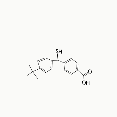 CC(C)(C)c1ccc(C(S)c2ccc(C(=O)O)cc2)cc1